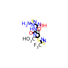 Nc1nc(/C(=N/O)C(=O)N[C@@H]2C(=O)N3C(C(=O)O)=C(Sc4nnsc4C(F)(F)F)CC[C@H]23)ns1